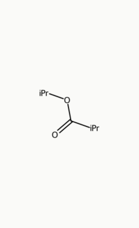 [CH2]C(C)OC(=O)C(C)C